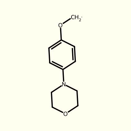 [CH2]Oc1ccc(N2CCOCC2)cc1